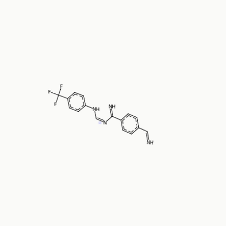 N=Cc1ccc(C(=N)/N=C\Nc2ccc(C(F)(F)F)cc2)cc1